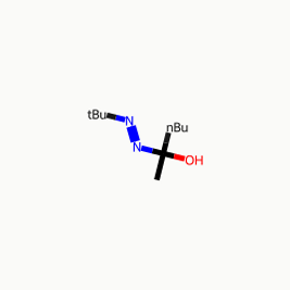 CCCCC(C)(O)/N=N/C(C)(C)C